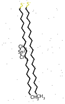 CCCCCCCCCCCCCCCCCCCC[S-].CCCCCCCCCCCCCCCCCCCC[S-].[CH3][Sn+2][CH3]